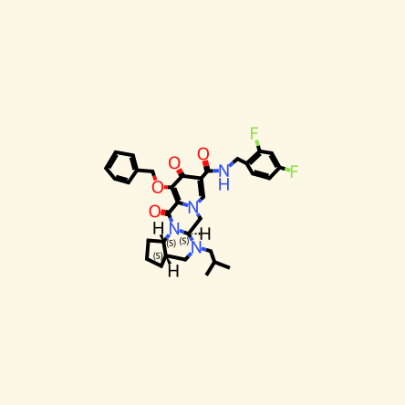 CC(C)CN1C[C@@H]2CCC[C@@H]2N2C(=O)c3c(OCc4ccccc4)c(=O)c(C(=O)NCc4ccc(F)cc4F)cn3C[C@@H]12